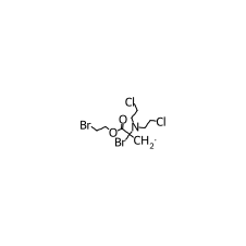 [CH2]C(Br)(C(=O)OCCBr)N(CCCl)CCCl